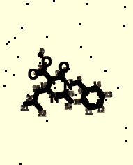 COC(=O)C1C(=O)N(Cc2ccccc2)C(C)=NC1CC(C)C